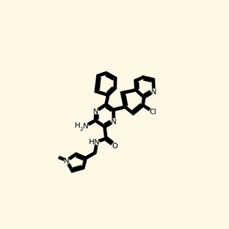 Cn1ccc(CNC(=O)c2nc(-c3cc(Cl)c4ncccc4c3)c(-c3ccccc3)nc2N)c1